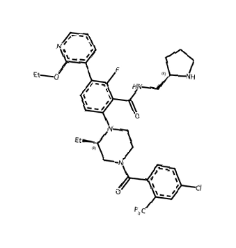 CCOc1ncccc1-c1ccc(N2CCN(C(=O)c3ccc(Cl)cc3C(F)(F)F)C[C@H]2CC)c(C(=O)NC[C@H]2CCCN2)c1F